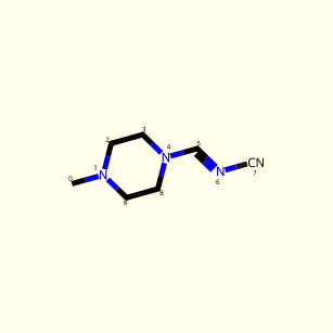 CN1CCN(C=NC#N)CC1